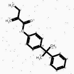 C=C(CC)C(=O)Oc1ccc(C(C)(C)c2ccccc2)cc1